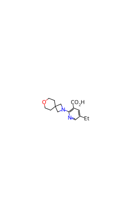 CCc1cnc(N2CC3(CCOCC3)C2)c(C(=O)O)c1